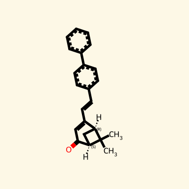 CC1(C)[C@@H]2C[C@H]1C(C=Cc1ccc(-c3ccccc3)cc1)=CC2=O